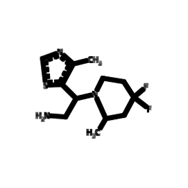 Cc1ncsc1C(CN)N1CCC(F)(F)CC1C